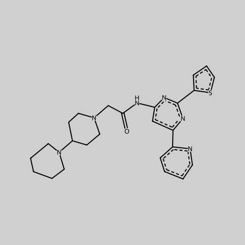 O=C(CN1CCC(N2CCCCC2)CC1)Nc1cc(-c2ccccn2)nc(-c2cccs2)n1